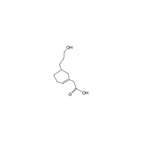 O=C(O)CC1=CCCC(CCCO)C1